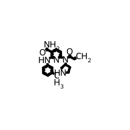 C=CC(=O)N(c1ccc(C(N)=O)c(Nc2cccc(C)c2)n1)C1CCNC1